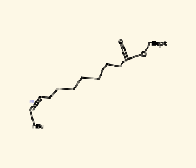 CCCC/C=C\CCCCCCCC(=O)OCCCCCCC